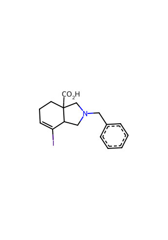 O=C(O)C12CCC=C(I)C1CN(Cc1ccccc1)C2